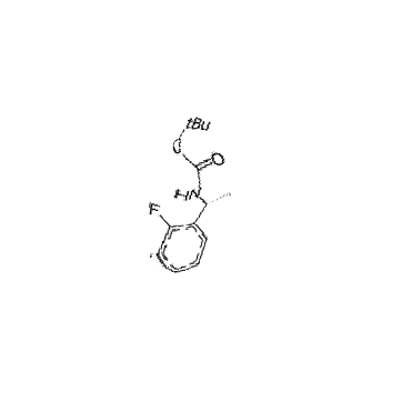 C[C@@H](NC(=O)OC(C)(C)C)c1ccc[c]c1F